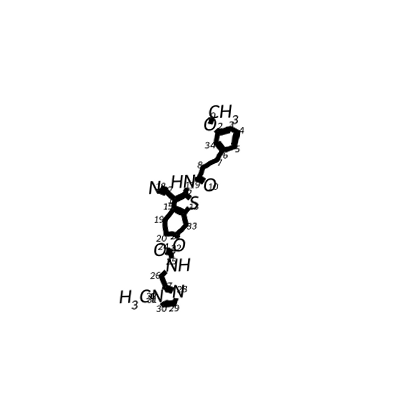 COc1cccc(CCC(=O)Nc2sc3c(c2C#N)CCC(OC(=O)NCc2nccn2C)C3)c1